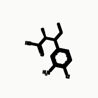 CCC(c1ccc(Cl)c(N)c1)[C@H](C)C(=O)O